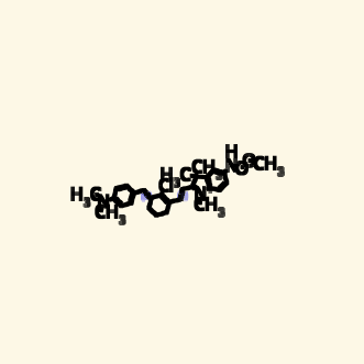 COONc1ccc2c(c1)C(C)(C)C(/C=C/C1=C(Cl)C(=C/c3ccc(N(C)C)cc3)/CCC1)=[N+]2C